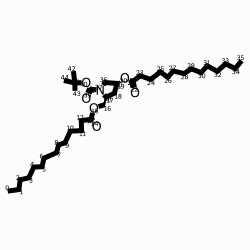 CCCCCCCCCCCCCC(=O)OC[C@@H]1C[C@@H](OC(=O)CCCCCCCCCCCCC)CN1C(=O)OC(C)(C)C